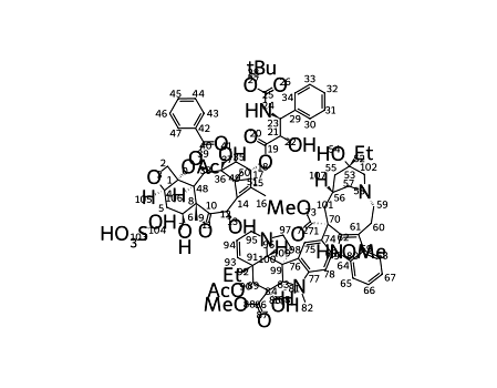 CC(=O)O[C@@]12CO[C@@H]1C[C@H](O)[C@@]1(C)C(=O)[C@H](O)C3=C(C)[C@@H](OC(=O)C(O)[C@@H](NC(=O)OC(C)(C)C)c4ccccc4)C[C@@](O)([C@@H](OC(=O)c4ccccc4)[C@H]21)C3(C)C.CC[C@]1(O)C[C@@H]2C[N@@](CCc3c([nH]c4ccccc34)[C@@](C(=O)OC)(c3cc4c(cc3OC)N(C)[C@H]3[C@@](O)(C(=O)OC)[C@H](OC(C)=O)[C@]5(CC)C=CCN6CC[C@]43[C@@H]65)C2)C1.O=S(=O)(O)O